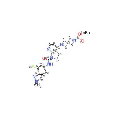 CCCCOC(=O)N1CC2(C1)CN(c1ccnc3c1CCN3C(=O)Nc1cc(F)c3nn(C)cc3c1)C2